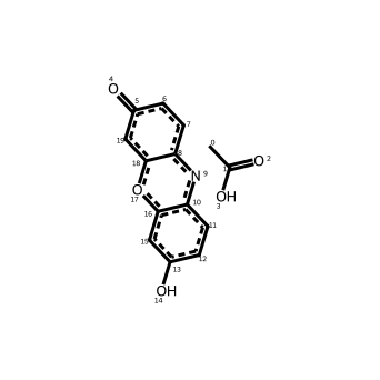 CC(=O)O.O=c1ccc2nc3ccc(O)cc3oc-2c1